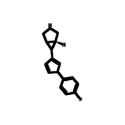 Fc1ccc(C2C=CC(C3C4CNC[C@H]43)=C2)cc1